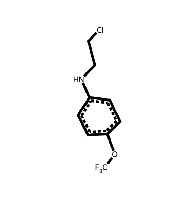 FC(F)(F)Oc1ccc(NCCCl)cc1